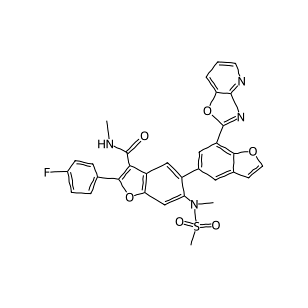 CNC(=O)c1c(-c2ccc(F)cc2)oc2cc(N(C)S(C)(=O)=O)c(-c3cc(-c4nc5ncccc5o4)c4occc4c3)cc12